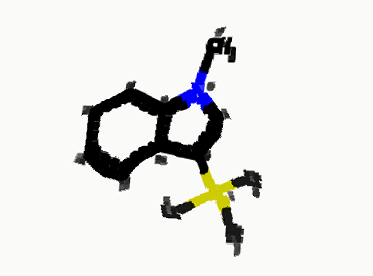 CCS(CC)(CC)c1cn(C)c2ccccc12